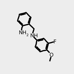 COc1ccc(NCc2ccccc2N)cc1F